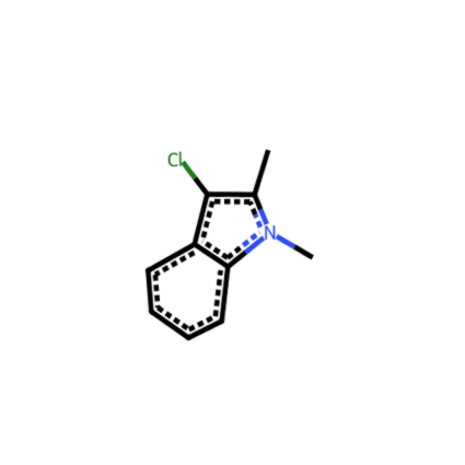 Cc1c(Cl)c2ccccc2n1C